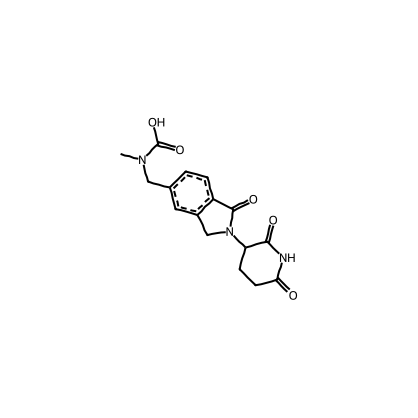 CN(Cc1ccc2c(c1)CN(C1CCC(=O)NC1=O)C2=O)C(=O)O